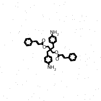 Nc1ccc(CC(COC(=O)/C=C/c2ccccc2)(COC(=O)/C=C/c2ccccc2)Cc2ccc(N)cc2)cc1